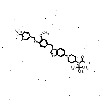 COc1ccc(COc2ccc(Cn3cnc4cc(N5CCC(N(C(=O)O)C(C)(C)C)CC5)ccc43)cc2OC)cn1